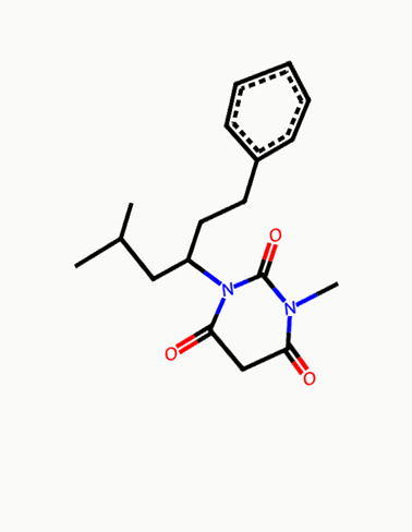 CC(C)CC(CCc1ccccc1)N1C(=O)CC(=O)N(C)C1=O